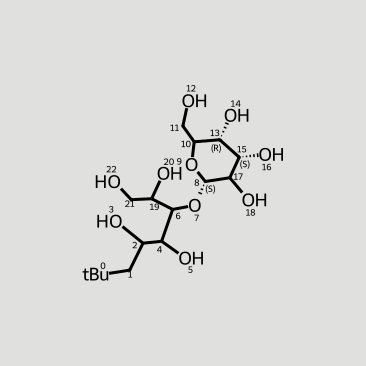 CC(C)(C)CC(O)C(O)C(O[C@@H]1OC(CO)[C@H](O)[C@H](O)C1O)C(O)CO